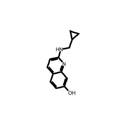 Oc1ccc2ccc(NCC3CC3)nc2c1